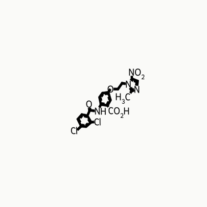 Cc1ncc([N+](=O)[O-])n1CCOc1ccc(NC(=O)c2ccc(Cl)cc2Cl)c(C(=O)O)c1